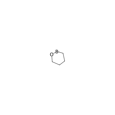 [B]1CCCCO1